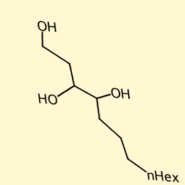 CCCCCCCCCC(O)C(O)CCO